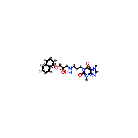 Cn1cnc2c1c(=O)n(CCCNCC(O)COc1cccc3ccccc13)c(=O)n2C